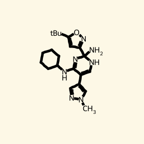 Cn1cc(C2=CNC(N)(c3cc(C(C)(C)C)on3)N=C2NC2CCCCC2)cn1